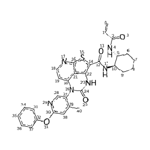 C=CC(=O)N[C@@H]1CCCC[C@H]1NC(=O)c1sc2nccc3c2c1NC(=O)N3c1cnc(Oc2ccccc2)cc1C